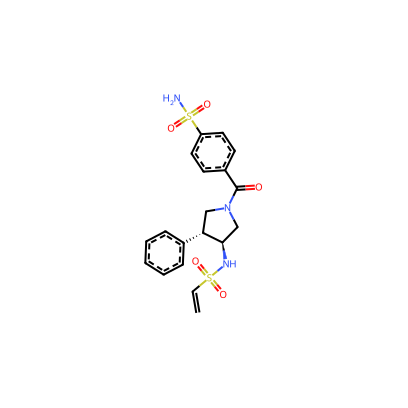 C=CS(=O)(=O)N[C@@H]1CN(C(=O)c2ccc(S(N)(=O)=O)cc2)C[C@H]1c1ccccc1